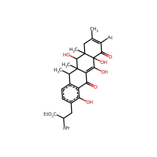 CCCC(Cc1ccc2c(c1O)C(=O)C1=C(O)C3(O)C(=O)C(C(C)=O)=C(C)CC3(C)C(O)C1(C)C2C)C(=O)OCC